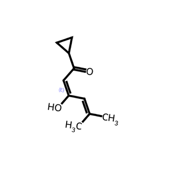 CC(C)=C/C(O)=C\C(=O)C1CC1